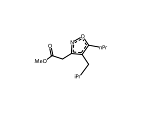 CCCc1onc(CC(=O)OC)c1CC(C)C